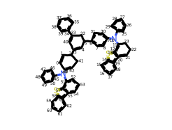 C1=CC(C2=CC(c3ccc(N(C4=c5sc6ccccc6c5=CCC4)c4ccccc4)cc3)CC(c3ccccc3)=C2)CC=C1N(c1ccccc1)c1cccc2c1sc1ccccc12